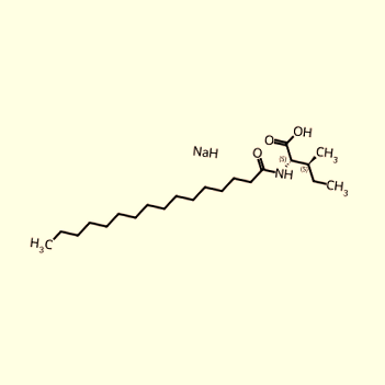 CCCCCCCCCCCCCCCC(=O)N[C@H](C(=O)O)[C@@H](C)CC.[NaH]